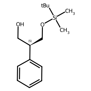 CC(C)(C)[Si](C)(C)OC[C@H](CO)c1ccccc1